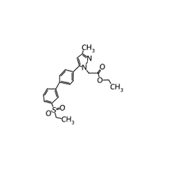 CCOC(=O)Cn1nc(C)cc1-c1ccc(-c2cccc(S(=O)(=O)CC)c2)cc1